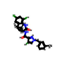 C[C@@]12C3[C@@H]1c1cc(F)cc(F)c1NC(=O)[C@]32NC(=O)c1nn(Cc2cccc(C#N)c2)cc1F